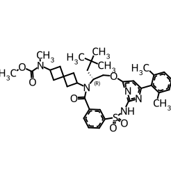 COC(=O)N(C)C1CC2(C1)CC(N1C(=O)c3cccc(c3)S(=O)(=O)Nc3nc(cc(-c4c(C)cccc4C)n3)OC[C@H]1CC(C)(C)C)C2